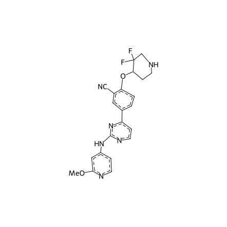 COc1cc(Nc2nccc(-c3ccc(OC4CCNCC4(F)F)c(C#N)c3)n2)ccn1